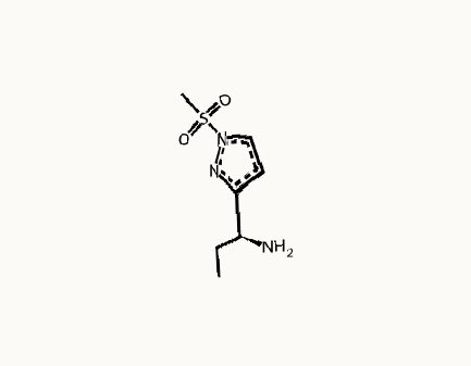 CC[C@H](N)c1ccn(S(C)(=O)=O)n1